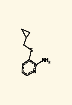 Nc1ncccc1SCC1CC1